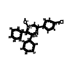 [O-][n+]1cc(-c2ccc(Cl)cc2)nc(-c2ccccc2)c1-c1ccccc1